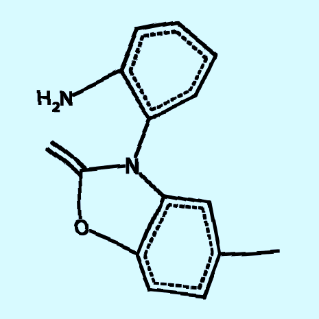 C=C1Oc2ccc(C)cc2N1c1ccccc1N